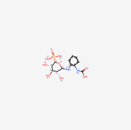 O=C(O)Nc1ccccc1NC1O[C@H](P(=O)(O)O)[C@@H](O)[C@H](O)[C@H]1O